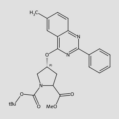 COC(=O)C1C[C@@H](Oc2nc(-c3ccccc3)nc3ccc(C)cc23)CN1C(=O)OC(C)(C)C